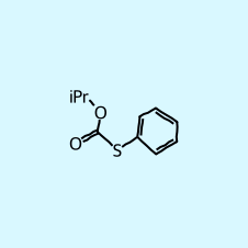 CC(C)OC(=O)Sc1ccccc1